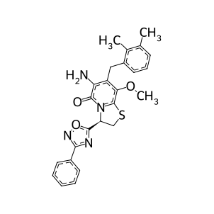 COc1c(Cc2cccc(C)c2C)c(N)c(=O)n2c1SC[C@H]2c1nc(-c2ccccc2)no1